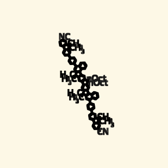 [C-]#[N+]c1ccc2c(c1)C(C)(C)c1cc(-c3ccc(-c4cc5c(c6ccccc46)-c4cc6c(cc4C5(C)C)-c4cc5c(cc4C6(CCCCCCCC)CCCCCCCC)-c4c(cc(-c6ccc(-c7ccc8c(c7)C(C)(C)c7cc(C#N)ccc7-8)cc6)c6ccccc46)C5(C)C)cc3)ccc1-2